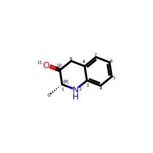 C[C@H]1Nc2ccccc2CC1=O